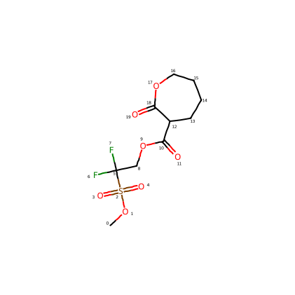 COS(=O)(=O)C(F)(F)COC(=O)C1CCCCOC1=O